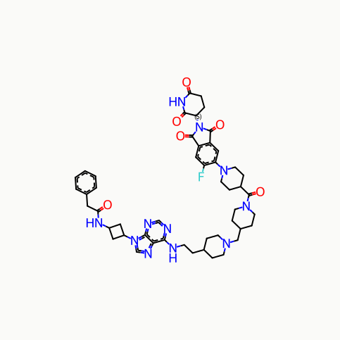 O=C1CC[C@H](N2C(=O)c3cc(F)c(N4CCC(C(=O)N5CCC(CN6CCC(CCNc7ncnc8c7ncn8C7CC(NC(=O)Cc8ccccc8)C7)CC6)CC5)CC4)cc3C2=O)C(=O)N1